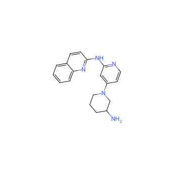 NC1CCCN(c2ccnc(Nc3ccc4ccccc4n3)c2)C1